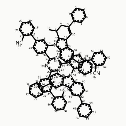 CC1CC(c2ccccc2)=Cc2c1n(-c1cc(-c3ccccc3C#N)ccc1-c1nc(-c3cccc(-c4ccccc4C#N)c3)nc(-c3ccc(-c4ccccc4C#N)cc3-n3c4ccc(-c5ccccc5)cc4c4cc(-c5ccccc5)ccc43)n1)c1ccc(-c3ccccc3)cc21